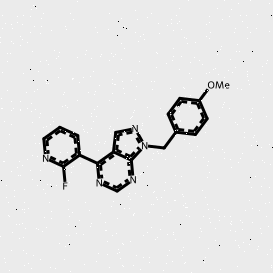 COc1ccc(Cn2ncc3c(-c4cccnc4F)ncnc32)cc1